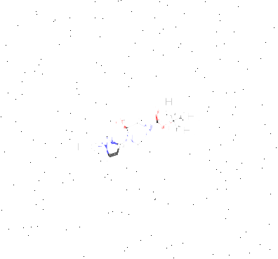 Cn1c#cc(N2CCN(C(=O)OC(C)(C)C)CC2=O)n1